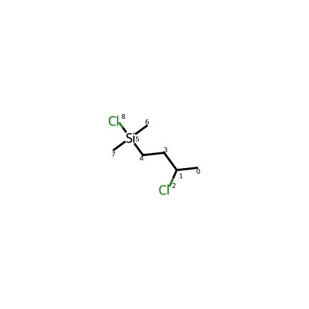 CC(Cl)CC[Si](C)(C)Cl